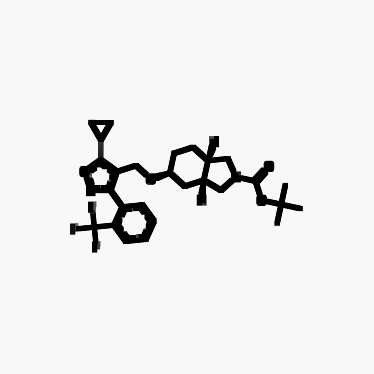 CC(C)(C)OC(=O)N1C[C@H]2CC[C@H](OCc3c(-c4ccccc4C(F)(F)F)noc3C3CC3)C[C@H]2C1